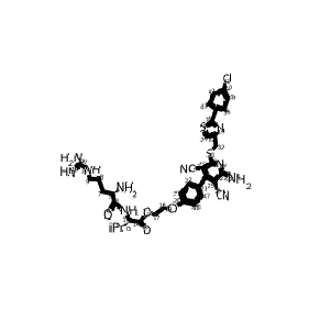 CC(C)[C@H](NC(=O)[C@@H](N)CCCNC(=N)N)C(=O)OCCOc1ccc(-c2c(C#N)c(N)nc(SCc3csc(-c4ccc(Cl)cc4)n3)c2C#N)cc1